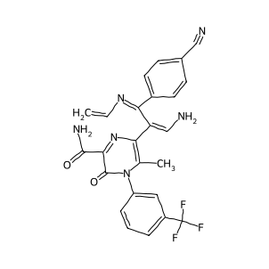 C=C/N=C(\C(=C/N)c1nc(C(N)=O)c(=O)n(-c2cccc(C(F)(F)F)c2)c1C)c1ccc(C#N)cc1